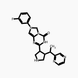 CC(c1cnccn1)C1CNCC1C1=NC2=CN(c3cccc(F)c3)CN2C(=O)N1